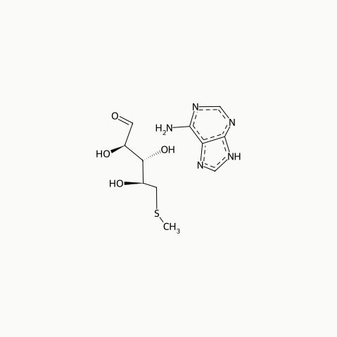 CSC[C@@H](O)[C@@H](O)[C@@H](O)C=O.Nc1ncnc2[nH]cnc12